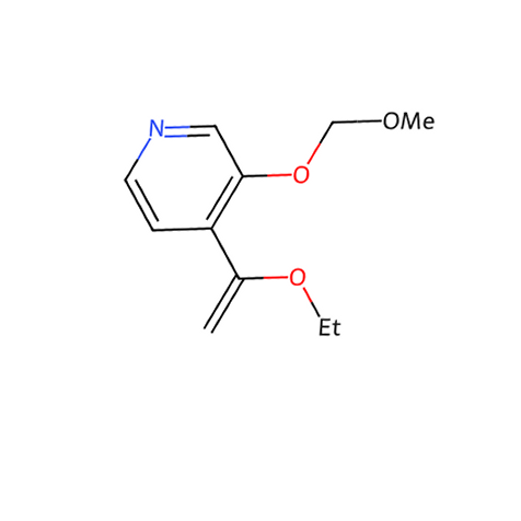 C=C(OCC)c1ccncc1OCOC